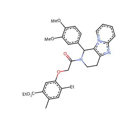 CCOC(=O)c1cc(OCC(=O)N2CCc3nc4ccccn4c3C2c2ccc(OC)c(OC)c2)c(CC)cc1C